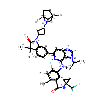 Cc1c(C(=O)NC2(C(F)F)CC2)cc(Nc2nc(-c3ccc4c(c3)N([C@H]3C[C@@H](N5C[C@H]6CC[C@@H]5C6)C3)C(=O)C4(C)C)cc3ncn(C(C)C)c23)c(F)c1F